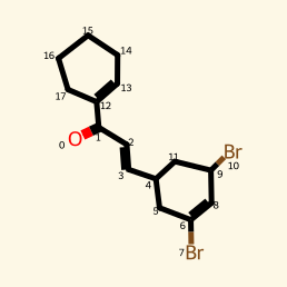 O=C(/C=C/C1CC(Br)=CC(Br)C1)C1=CCCCC1